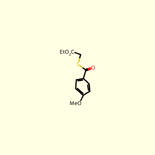 CCOC(=O)CSC(=O)c1ccc(OC)cc1